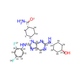 NC(=O)[C@H]1CC[C@@H](n2c(Nc3ccc(F)cc3F)nc3cnc(N[C@H]4CC[C@H](O)CC4)nc32)CC1